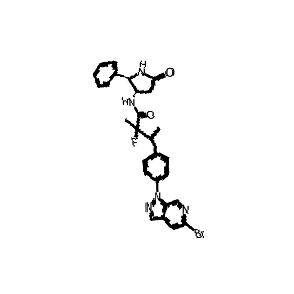 CC(c1ccc(-n2ncc3cc(Br)ncc32)cc1)C(C)(F)C(=O)N[C@H]1CC(=O)N[C@@H]1c1ccccc1